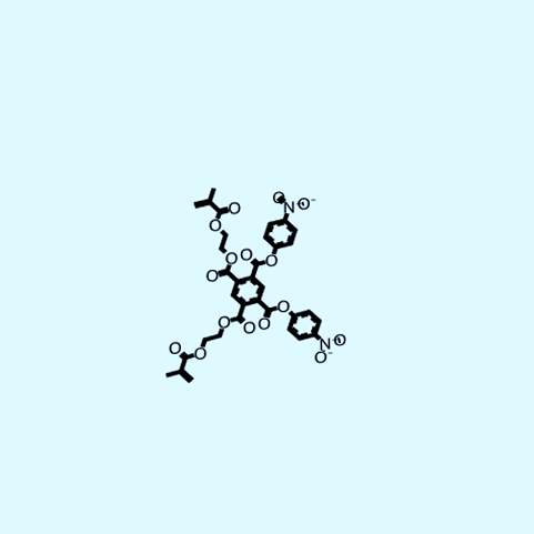 C=C(C)C(=O)OCCOC(=O)c1cc(C(=O)OCCOC(=O)C(=C)C)c(C(=O)Oc2ccc([N+](=O)[O-])cc2)cc1C(=O)Oc1ccc([N+](=O)[O-])cc1